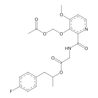 COc1ccnc(C(=O)NCC(=O)OC(C)Cc2ccc(F)cc2)c1OCOC(C)=O